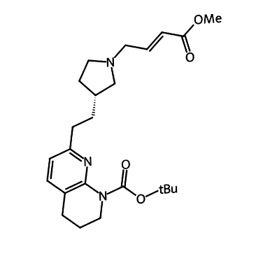 COC(=O)/C=C/CN1CC[C@@H](CCc2ccc3c(n2)N(C(=O)OC(C)(C)C)CCC3)C1